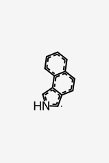 [c]1[nH]cc2c1ccc1ccccc12